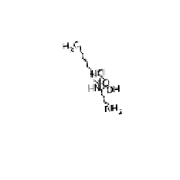 CCCCCCCCCCCC(=O)NC(CCCCN)C(=O)O.Cl